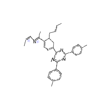 CC=CCC1CC(c2nc(-c3ccc(C)cc3)nc(-c3ccc(C)cc3)n2)=CC=C1/C(C)=N/C=C\C